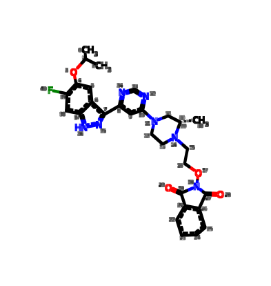 CC(C)Oc1cc2c(-c3cc(N4CCN(CCON5C(=O)c6ccccc6C5=O)[C@@H](C)C4)ncn3)n[nH]c2cc1F